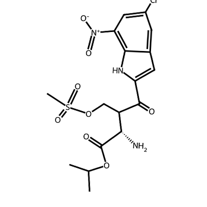 CC(C)OC(=O)[C@@H](N)C(COS(C)(=O)=O)C(=O)c1cc2cc(Cl)cc([N+](=O)[O-])c2[nH]1